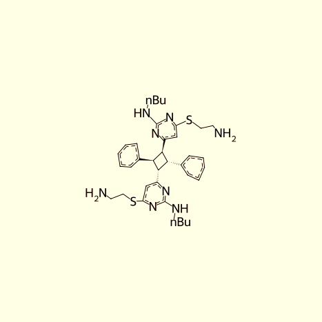 CCCCNc1nc(SCCN)cc([C@H]2[C@H](c3ccccc3)[C@H](c3cc(SCCN)nc(NCCCC)n3)[C@H]2c2ccccc2)n1